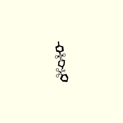 Cc1ccc(S(=O)(=O)N2CCC([Se]S(=O)(=O)c3ccccc3)CC2)cc1